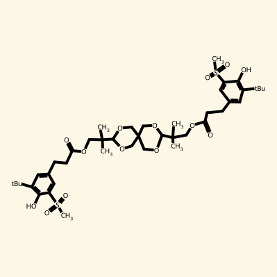 CC(C)(C)c1cc(CCC(=O)OCC(C)(C)C2OCC3(CO2)COC(C(C)(C)COC(=O)CCc2cc(C(C)(C)C)c(O)c(S(C)(=O)=O)c2)OC3)cc(S(C)(=O)=O)c1O